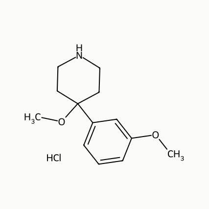 COc1cccc(C2(OC)CCNCC2)c1.Cl